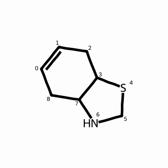 C1=CCC2SCNC2C1